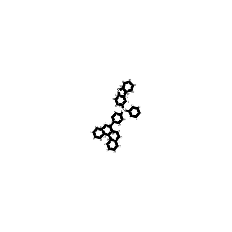 c1ccc(N(c2ccc(-c3cc4ccccc4c4c3ccc3ccccc34)cc2)c2ccc3sc4ccccc4c3c2)cc1